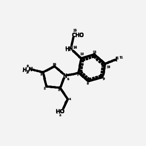 NC1CC(CO)N(c2ccc(F)cc2NC=O)C1